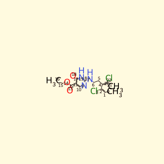 C/C=C(Cl)\C(CCNc1ncc(C(=O)OCC)c(=O)[nH]1)=C(/C)Cl